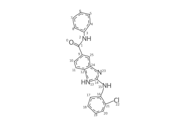 O=C(Nc1ccccc1)c1ccc2[nH]c(Nc3ccccc3Cl)nc2c1